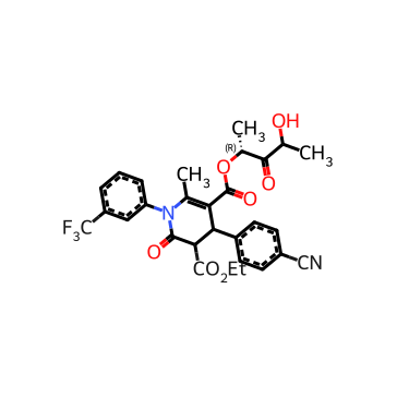 CCOC(=O)C1C(=O)N(c2cccc(C(F)(F)F)c2)C(C)=C(C(=O)O[C@H](C)C(=O)C(C)O)C1c1ccc(C#N)cc1